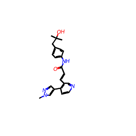 Cn1cc(-c2ccncc2C=CC(=O)Nc2ccc(CC(C)(C)O)cc2)cn1